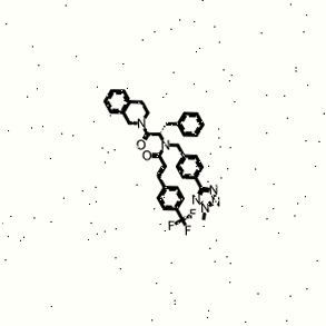 Cn1nnc(-c2ccc(CN(C(=O)C=Cc3ccc(C(F)(F)F)cc3)[C@@H](Cc3ccccc3)C(=O)N3CCc4ccccc4C3)cc2)n1